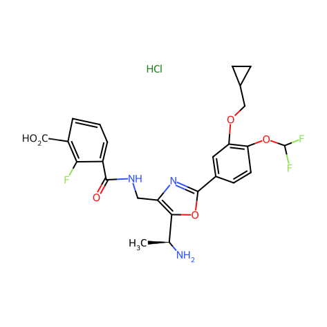 C[C@H](N)c1oc(-c2ccc(OC(F)F)c(OCC3CC3)c2)nc1CNC(=O)c1cccc(C(=O)O)c1F.Cl